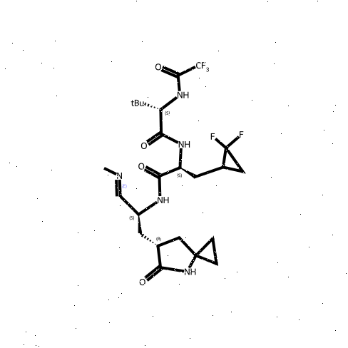 C/N=C/[C@H](C[C@@H]1CC2(CC2)NC1=O)NC(=O)[C@H](CC1CC1(F)F)NC(=O)[C@@H](NC(=O)C(F)(F)F)C(C)(C)C